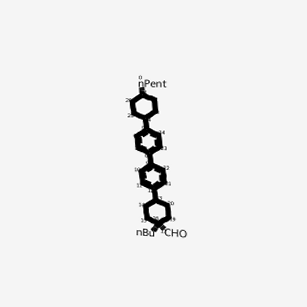 CCCCCC1CCC(c2ccc(-c3ccc(C4CCC(C=O)(CCCC)CC4)cc3)cc2)CC1